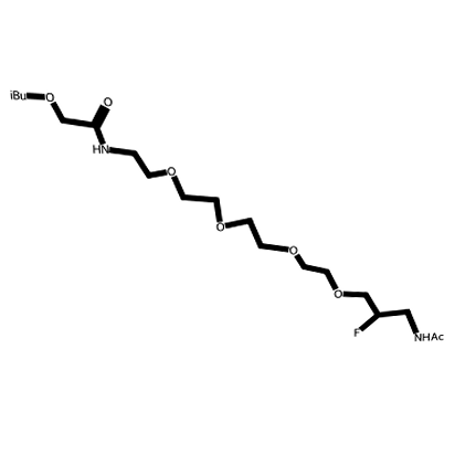 CCC(C)OCC(=O)NCCOCCOCCOCCOCC(F)CNC(C)=O